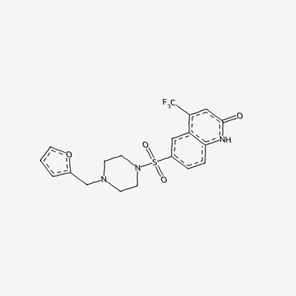 O=c1cc(C(F)(F)F)c2cc(S(=O)(=O)N3CCN(Cc4ccco4)CC3)ccc2[nH]1